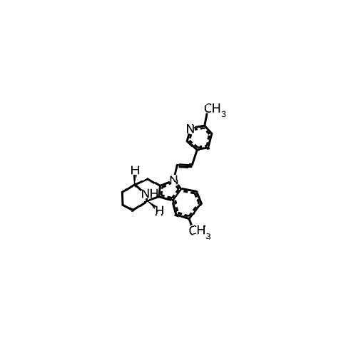 Cc1ccc2c(c1)c1c(n2C=Cc2ccc(C)nc2)C[C@H]2CCC[C@@H]1N2